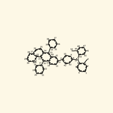 Cc1ccccc1N(c1ccc(-c2ccc3c(-c4ccccc4)c4c(ccc5cccnc54)c(-c4ccccc4)c3c2)cc1)c1ccccc1C